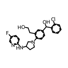 OCCc1cc(C(O)c2ccccc2Cl)ccc1N1CCC(Nc2ccc(F)cn2)C1